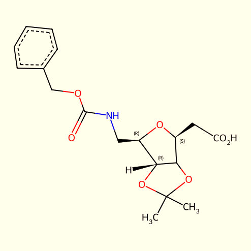 CC1(C)OC2[C@H](CC(=O)O)O[C@H](CNC(=O)OCc3ccccc3)[C@H]2O1